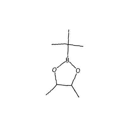 CC1OB(C(C)(C)C)OC1C